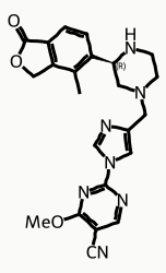 COc1nc(-n2cnc(CN3CCN[C@H](c4ccc5c(c4C)COC5=O)C3)c2)ncc1C#N